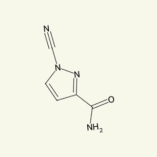 N#Cn1ccc(C(N)=O)n1